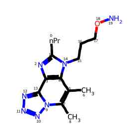 CCCc1nc2c(c(C)c(C)n3nnnc23)n1CCCON